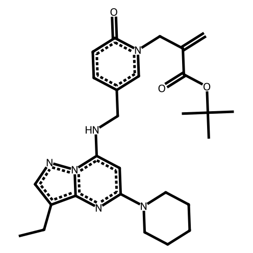 C=C(Cn1cc(CNc2cc(N3CCCCC3)nc3c(CC)cnn23)ccc1=O)C(=O)OC(C)(C)C